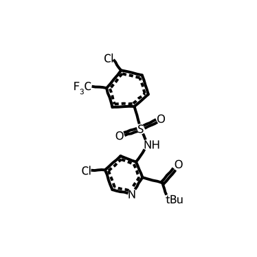 CC(C)(C)C(=O)c1ncc(Cl)cc1NS(=O)(=O)c1ccc(Cl)c(C(F)(F)F)c1